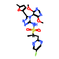 COc1ncnc(OC)c1-n1c(NS(=O)(=O)[C@H](C)Cc2ncc(F)cn2)nnc1-c1ccc(C)o1